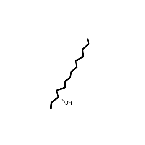 [CH2]C[C@@H](O)CCCCCCCCCCC